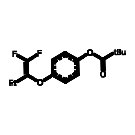 CCC(Oc1ccc(OC(=O)C(C)(C)C)cc1)=C(F)F